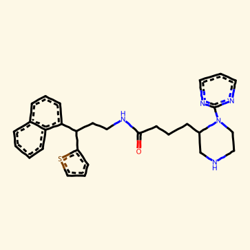 O=C(CCCC1CNCCN1c1ncccn1)NCCC(c1cccs1)c1cccc2ccccc12